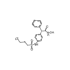 O=C(NO)C(c1ccccc1)c1ccc(NS(=O)(=O)CCCCl)cc1